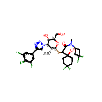 CO[C@@H]1[C@@H](n2cc(-c3cc(F)c(F)c(F)c3)nn2)[C@@H](O)[C@@H](CO)O[C@H]1SC(C(=O)N(C)C1CC(F)(F)C1)C1(O)CCC(F)(F)CC1